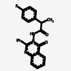 CC(C)c1nc2ccccc2c(=O)n1NC(=O)C(C)c1ccc(F)cc1